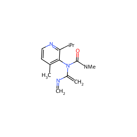 C=NC(=C)N(C(=O)NC)c1c(C)ccnc1C(C)C